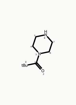 CC(C)(C)C(=O)N1CCNCC1